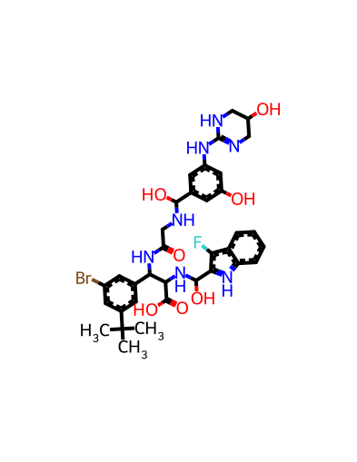 CC(C)(C)c1cc(Br)cc(C(NC(=O)CNC(O)c2cc(O)cc(NC3=NCC(O)CN3)c2)C(NC(O)c2[nH]c3ccccc3c2F)C(=O)O)c1